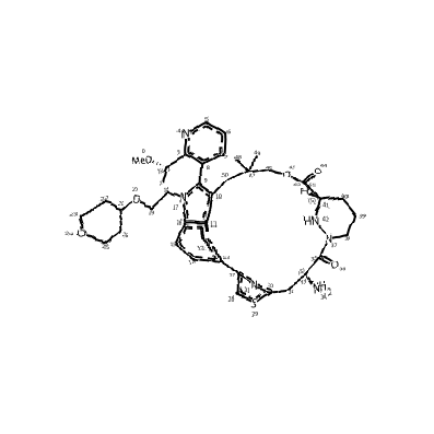 CO[C@@H](C)c1ncccc1-c1c2c3cc(ccc3n1CCOC1CCOCC1)-c1csc(n1)C[C@H](N)C(=O)N1CCC[C@H](N1)C(=O)OCC(C)(C)C2